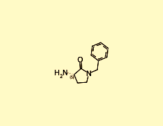 N[C@H]1CCN(Cc2ccccc2)C1=O